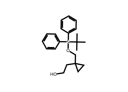 CC(C)(C)[Si](OCC1(CCO)CC1)(c1ccccc1)c1ccccc1